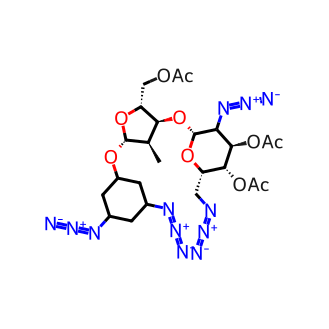 CC(=O)OC[C@H]1O[C@@H](OC2CC(N=[N+]=[N-])CC(N=[N+]=[N-])C2)[C@H](C)[C@@H]1O[C@H]1O[C@@H](CN=[N+]=[N-])[C@@H](OC(C)=O)[C@H](OC(C)=O)C1N=[N+]=[N-]